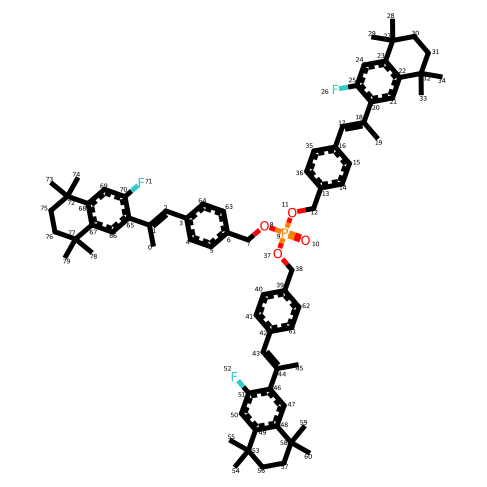 C/C(=C\c1ccc(COP(=O)(OCc2ccc(/C=C(\C)c3cc4c(cc3F)C(C)(C)CCC4(C)C)cc2)OCc2ccc(/C=C(\C)c3cc4c(cc3F)C(C)(C)CCC4(C)C)cc2)cc1)c1cc2c(cc1F)C(C)(C)CCC2(C)C